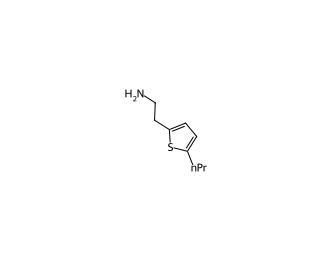 CCCc1ccc(CCN)s1